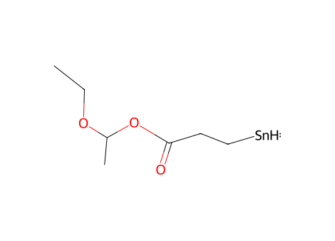 CCOC(C)OC(=O)C[CH2][SnH]